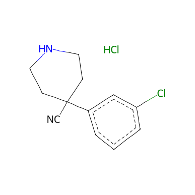 Cl.N#CC1(c2cccc(Cl)c2)CCNCC1